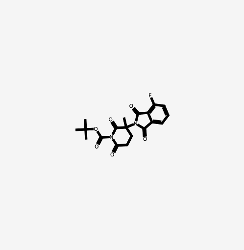 CC(C)(C)OC(=O)N1C(=O)CCC(C)(N2C(=O)c3cccc(F)c3C2=O)C1=O